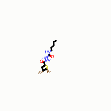 CCCCCNC(=O)NNC(=O)c1cc(Br)c(Br)s1